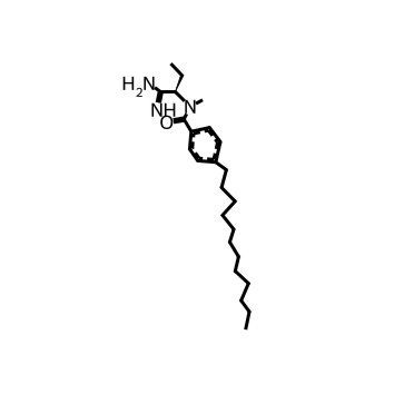 CCCCCCCCCCCCc1ccc(C(=O)N(C)[C@H](CC)C(=N)N)cc1